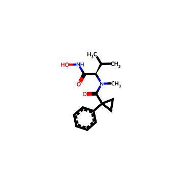 CC(C)[C@H](C(=O)NO)N(C)C(=O)C1(c2ccccc2)CC1